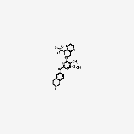 CCS(=O)(=O)Nc1nccnc1CNc1nc(Nc2ccc3c(c2)CCNC3)ncc1C.Cl.Cl